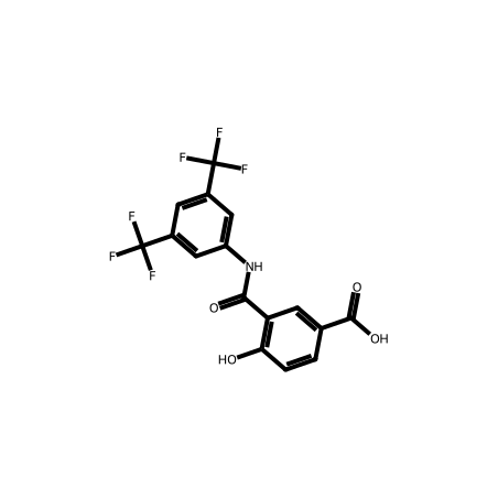 O=C(O)c1ccc(O)c(C(=O)Nc2cc(C(F)(F)F)cc(C(F)(F)F)c2)c1